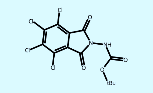 CC(C)(C)OC(=O)NN1C(=O)c2c(Cl)c(Cl)c(Cl)c(Cl)c2C1=O